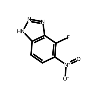 O=[N+]([O-])c1ccc2[nH]nnc2c1F